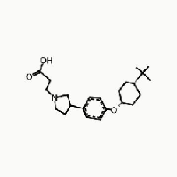 CC(C)(C)[C@H]1CC[C@H](Oc2ccc(C3CCN(CCC(=O)O)C3)cc2)CC1